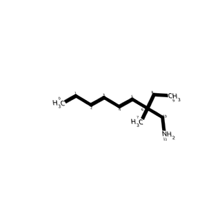 CCCCCCC(C)(CC)CN